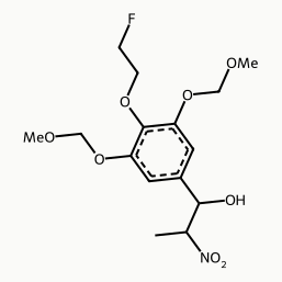 COCOc1cc(C(O)C(C)[N+](=O)[O-])cc(OCOC)c1OCCF